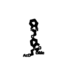 COC(=O)N(CCOC(C)=O)c1ccc(OCc2nc3ccccc3s2)cc1C